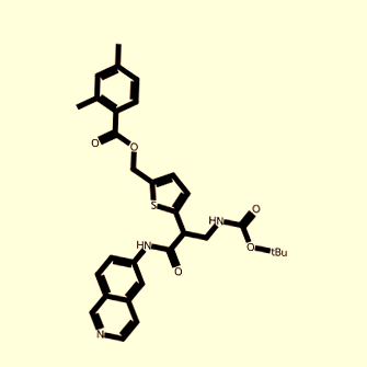 Cc1ccc(C(=O)OCc2ccc(C(CNC(=O)OC(C)(C)C)C(=O)Nc3ccc4cnccc4c3)s2)c(C)c1